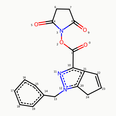 O=C(ON1C(=O)CCC1=O)c1nn(Cc2ccccc2)c2c1C=CC2